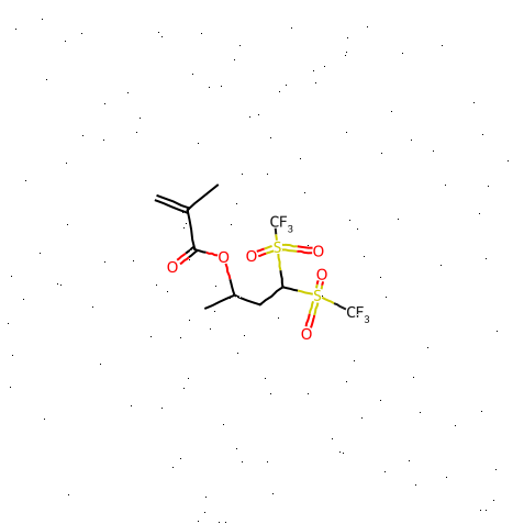 C=C(C)C(=O)OC(C)CC(S(=O)(=O)C(F)(F)F)S(=O)(=O)C(F)(F)F